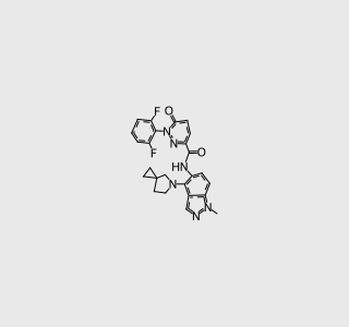 Cn1ncc2c(N3CCC4(CC4)C3)c(NC(=O)c3ccc(=O)n(-c4c(F)cccc4F)n3)ccc21